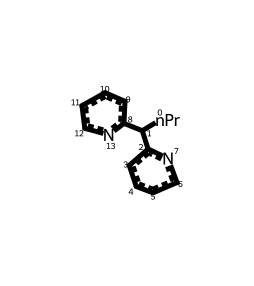 CCCC(c1ccccn1)c1ccccn1